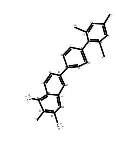 Cc1cc(C)c(-c2ccc(-c3ccc4c(C(F)(F)F)c(C)c(C(F)(F)F)cc4c3)cc2)c(C)c1